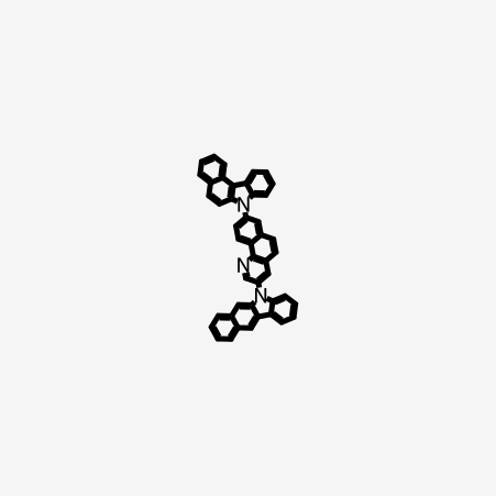 c1ccc2cc3c(cc2c1)c1ccccc1n3-c1cnc2c(ccc3cc(-n4c5ccccc5c5c6ccccc6ccc54)ccc32)c1